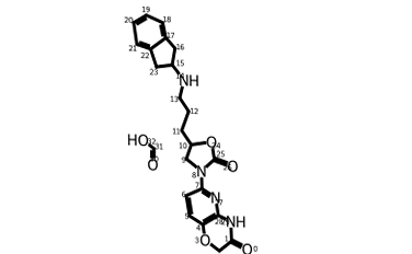 O=C1COc2ccc(N3CC(CCCNC4Cc5ccccc5C4)OC3=O)nc2N1.O=CO